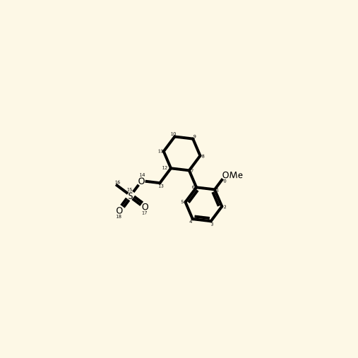 COc1ccccc1C1CCCCC1COS(C)(=O)=O